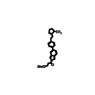 COCCC(=O)n1cc2ccc(-c3ccc(CCN4CCC[C@H]4C)cc3)cc2c1